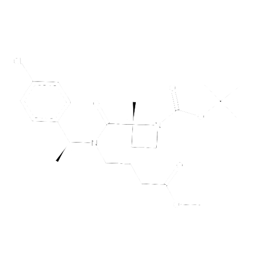 COC(=O)CCCN(C(=O)[C@@]1(C)CCN1C(=O)OC(C)(C)C)[C@@H](C)c1ccc(Cl)cc1